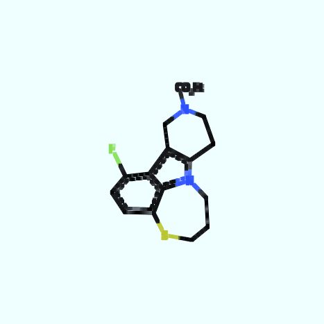 CCOC(=O)N1CCc2c(c3c(F)ccc4c3n2CCCS4)C1